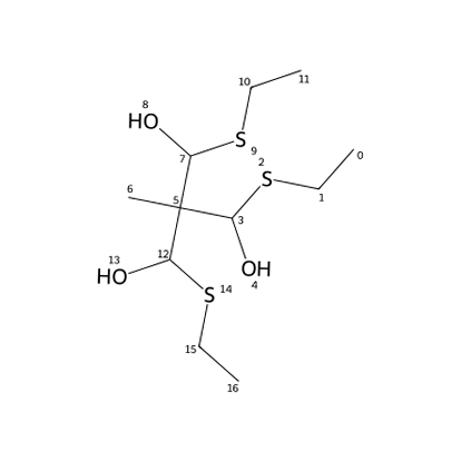 CCSC(O)C(C)(C(O)SCC)C(O)SCC